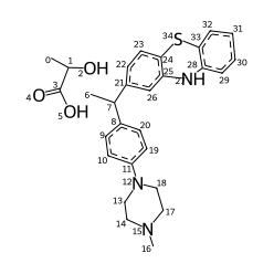 CC(O)C(=O)O.CC(c1ccc(N2CCN(C)CC2)cc1)c1ccc2c(c1)Nc1ccccc1S2